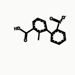 Cc1c(C(=O)O)cccc1-c1ccccc1[N+](=O)[O-]